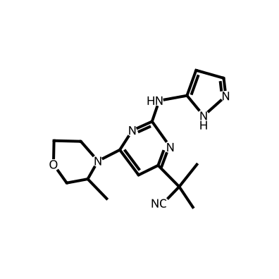 CC1COCCN1c1cc(C(C)(C)C#N)nc(Nc2ccn[nH]2)n1